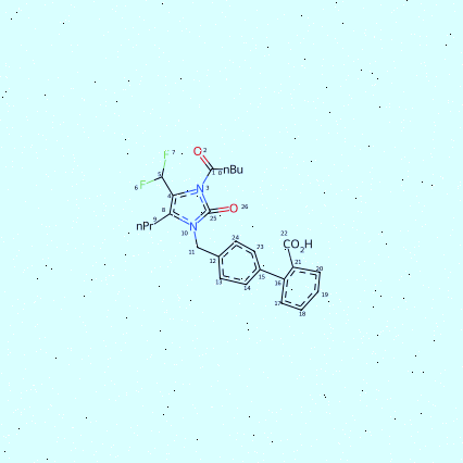 CCCCC(=O)n1c(C(F)F)c(CCC)n(Cc2ccc(-c3ccccc3C(=O)O)cc2)c1=O